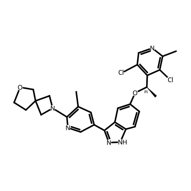 Cc1cc(-c2n[nH]c3ccc(O[C@H](C)c4c(Cl)cnc(C)c4Cl)cc23)cnc1N1CC2(CCOC2)C1